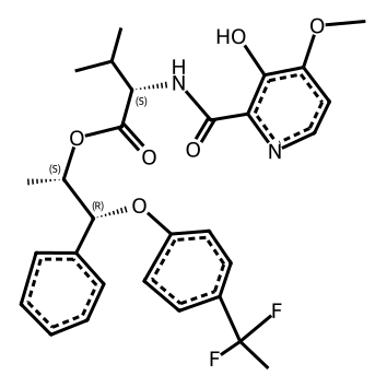 COc1ccnc(C(=O)N[C@H](C(=O)O[C@@H](C)[C@H](Oc2ccc(C(C)(F)F)cc2)c2ccccc2)C(C)C)c1O